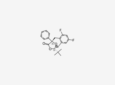 CC(C)(C)[C@@H]1OC(=O)[C@](Cc2c(F)cc(F)cc2Br)(c2ccccc2)O1